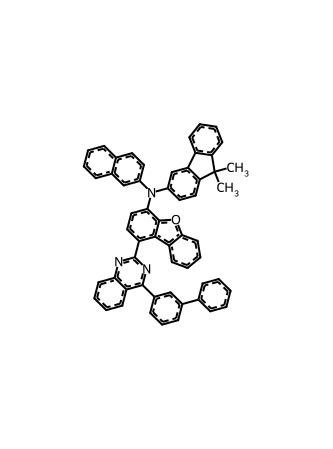 CC1(C)c2ccccc2-c2cc(N(c3ccc4ccccc4c3)c3ccc(-c4nc(-c5cccc(-c6ccccc6)c5)c5ccccc5n4)c4c3oc3ccccc34)ccc21